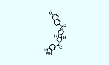 COc1ccc2cc(C(=O)N3CC4C(C3)[C@@H]3CN(C(=O)c5ccc6[nH]nnc6c5)C[C@H]43)ccc2c1